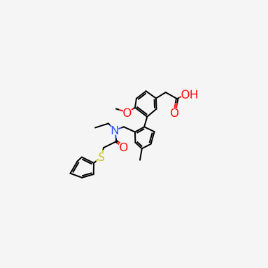 CCN(Cc1cc(C)ccc1-c1cc(CC(=O)O)ccc1OC)C(=O)CSc1ccccc1